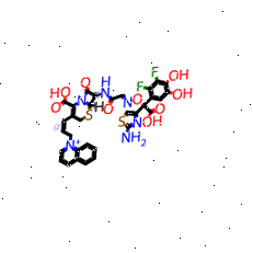 Nc1nc(C(ON=CC(=O)N[C@@H]2C(=O)N3C(C(=O)O)=C(/C=C\C[n+]4cccc5ccccc54)CS[C@@H]23)(C(=O)O)c2cc(O)c(O)c(F)c2F)cs1